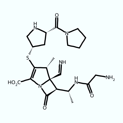 C[C@@H](NC(=O)CN)[C@H]1C(=O)N2C(C(=O)O)=C(S[C@@H]3CN[C@H](C(=O)N4CCCC4)C3)[C@H](C)[C@]12C=N